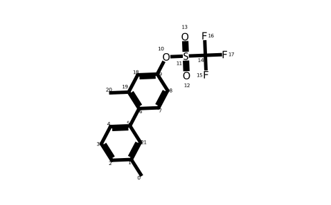 Cc1cccc(-c2ccc(OS(=O)(=O)C(F)(F)F)cc2C)c1